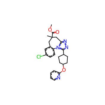 COC(=O)C1(C)Cc2cc(Cl)ccc2-n2c(nnc2C2CCC(Oc3ccccn3)CC2)C1